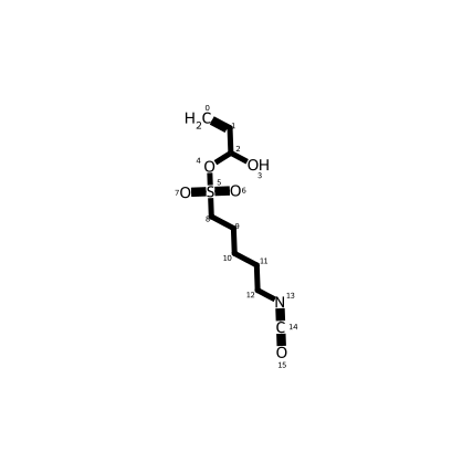 C=CC(O)OS(=O)(=O)CCCCCN=C=O